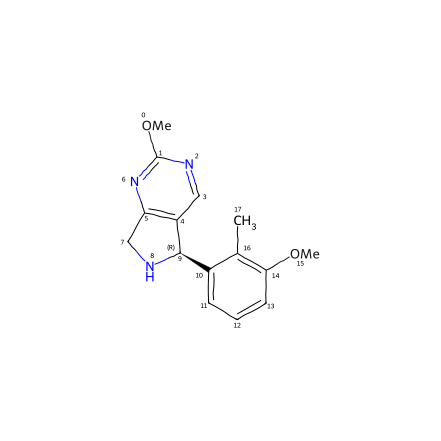 COc1ncc2c(n1)CN[C@@H]2c1cccc(OC)c1C